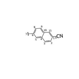 N#Cc1ccc2cc(I)ccc2c1